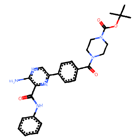 CC(C)(C)OC(=O)N1CCN(C(=O)c2ccc(-c3cnc(N)c(C(=O)Nc4ccccc4)n3)cc2)CC1